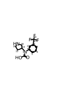 O=C(O)N(c1cccc(C(F)(F)F)c1)C1CCNC1